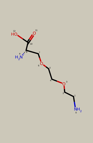 NCCOCCOC[C@H](N)C(=O)O